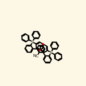 N#Cc1c(-c2ccccc2[Si](c2ccccc2)(c2ccccc2)c2ccccc2)cccc1-c1ccccc1[Si](c1ccccc1)(c1ccccc1)c1ccccc1